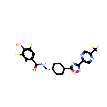 O=C(NC[C@H]1CC[C@H](c2nc(-c3cnc(C(F)(F)F)cn3)no2)CC1)c1cc(F)c(O)c(F)c1F